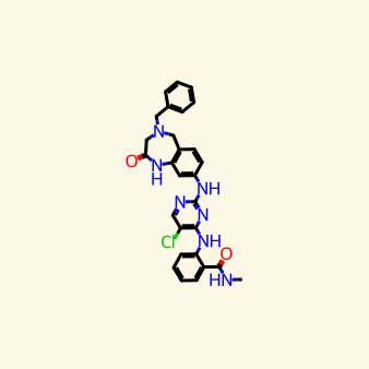 CNC(=O)c1ccccc1Nc1nc(Nc2ccc3c(c2)NC(=O)CN(Cc2ccccc2)C3)ncc1Cl